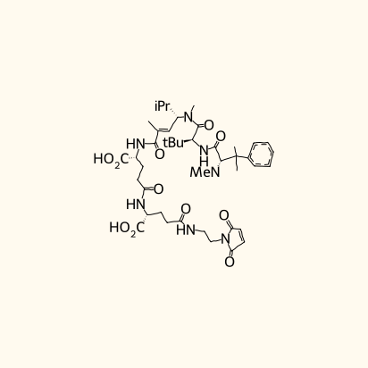 CN[C@H](C(=O)N[C@H](C(=O)N(C)[C@H](/C=C(\C)C(=O)N[C@H](CCC(=O)N[C@H](CCC(=O)NCCN1C(=O)C=CC1=O)C(=O)O)C(=O)O)C(C)C)C(C)(C)C)C(C)(C)c1ccccc1